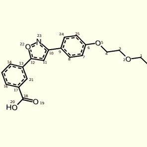 CCOCCOc1ccc(-c2cc(-c3cccc(C(=O)O)c3)on2)cc1